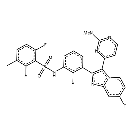 CNc1nccc(-c2c(-c3cccc(NS(=O)(=O)c4c(F)ccc(C)c4F)c3F)nc3cc(F)ccn23)n1